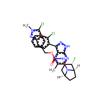 Cc1nc2c(-c3ccc4nn(C)c(Cl)c4c3Cl)n[nH]c2nc1N1[C@H]2CC[C@@H]1[C@@H](F)[C@@H](NC(=O)OCc1ccccc1)C2